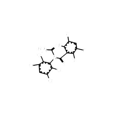 NC(=S)N(C(=S)c1c(F)c(F)cc(F)c1F)c1c(Cl)c(Cl)cc(Cl)c1Cl